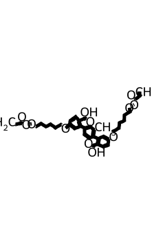 C=CC(=O)OOCCCCCCOc1ccc(C(=O)O)c(-c2ccc(-c3cc(OCCCCCCOOC(=O)C=C)ccc3C(=O)O)c(C)c2)c1